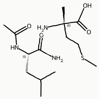 CC(=O)N[C@@H](CC(C)C)C(N)=O.CSCC[C@](C)(N)C(=O)O